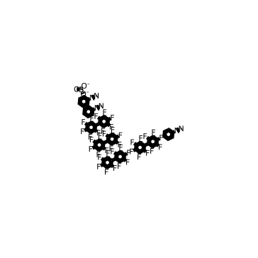 Fc1c(F)c(F)c(-c2c(F)c(F)c(F)c(F)c2F)c(F)c1F.Fc1c(F)c(F)c(-c2c(F)c(F)c(F)c(F)c2F)c(F)c1F.Fc1c(F)c(F)c(-c2c(F)c(F)c(F)c(F)c2F)c(F)c1F.Fc1c(F)c(F)c(-c2c(F)c(F)c(F)c(F)c2F)c(F)c1F.N#[N+]c1ccccc1.N#[N+]c1ccccc1.N#[N+]c1ccccc1.[O-]B([O-])[O-]